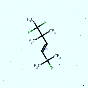 FC(F)(F)C(F)(F)C(/C=C/C(F)(C(F)(F)F)C(F)(F)F)(C(F)(F)F)C(F)(F)F